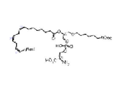 CCCCC/C=C\C/C=C\C/C=C\CCCCCCC(=O)O[C@H](COCCCCCCCCCCCCCCCC)COP(=O)(O)OC[C@H](N)C(=O)O